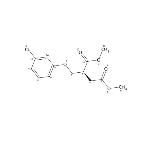 COC(=O)C[C@@H](COc1cccc(Cl)c1)C(=O)OC